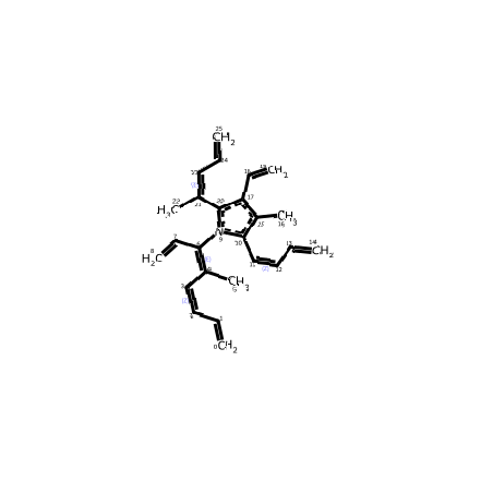 C=C/C=C\C(C)=C(/C=C)n1c(/C=C\C=C)c(C)c(C=C)c1/C(C)=C\C=C